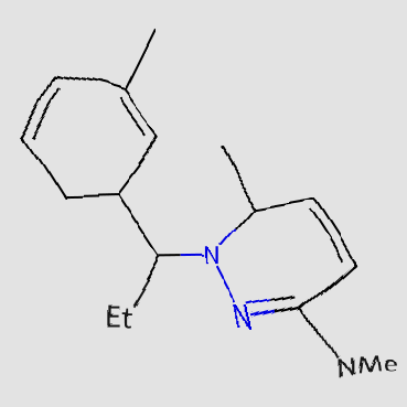 CCC(C1C=C(C)C=CC1)N1N=C(NC)C=CC1C